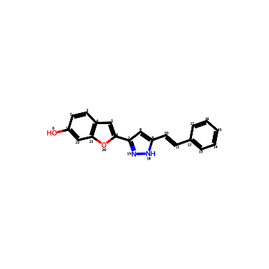 Oc1ccc2cc(-c3cc(/C=C/c4ccccc4)[nH]n3)oc2c1